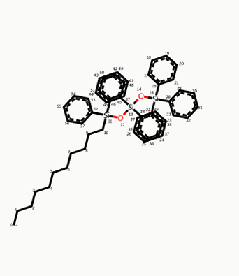 [CH2]CCCCCCCCCC[Si](O[Si](O[Si](c1ccccc1)(c1ccccc1)c1ccccc1)(c1ccccc1)c1ccccc1)(c1ccccc1)c1ccccc1